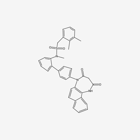 Cc1cccc(CS(=O)(=O)N(C)c2ccccc2-c2ccc(N3C(=O)CC(=O)Nc4c3ccc3ccccc43)cc2)c1C